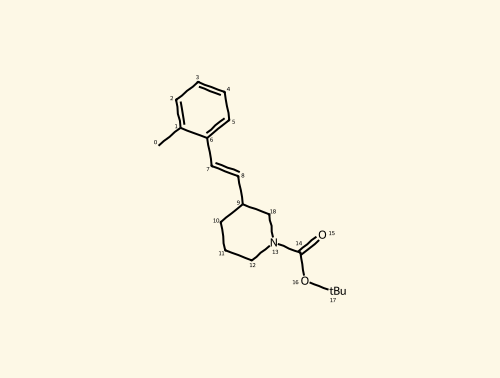 Cc1ccccc1/C=C/C1CCCN(C(=O)OC(C)(C)C)C1